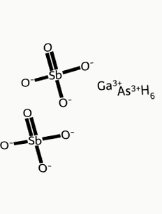 [AsH6+3].[Ga+3].[O]=[Sb]([O-])([O-])[O-].[O]=[Sb]([O-])([O-])[O-]